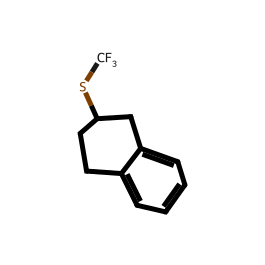 FC(F)(F)SC1CCc2ccccc2C1